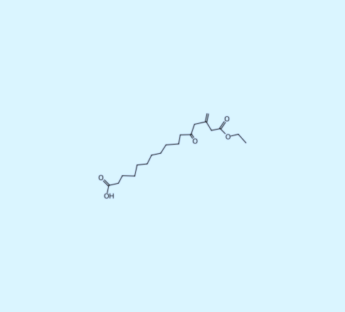 C=C(CC(=O)CCCCCCCCCCC(=O)O)CC(=O)OCC